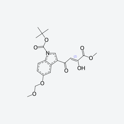 COCOc1ccc2c(c1)c(C(=O)/C=C(\O)C(=O)OC)cn2C(=O)OC(C)(C)C